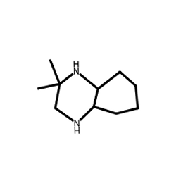 CC1(C)CNC2CCCCC2N1